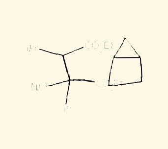 C1CC2CC12.CCOC(=O)C(C(C)C)C(C#N)(C(=O)OCC)C(C)C